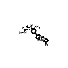 C=C(NC(=O)NCC)N(N)C1=C(N)C=C(/C(=C/NCN2CCC(O)C2)CNC)CC1